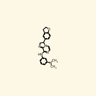 CN(C)c1cccc(NC2=NC=CN3C2=NCC3c2ccc3c(c2)CCO3)c1